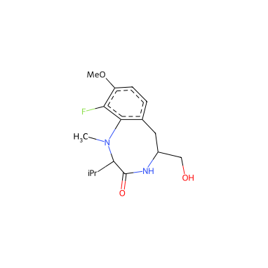 COc1ccc2c(c1F)N(C)C(C(C)C)C(=O)NC(CO)C2